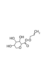 C=CCOOC(=O)C1OCC(O)C(O)C1O